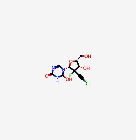 O=C1N=CN([C@@H]2O[C@H](CO)[C@H](O)C2(F)C#CCl)C(O)N1